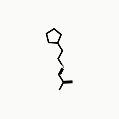 C=C(C)C=NCCC1CCCC1